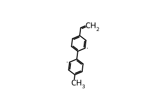 C=Cc1c[c]c(-c2[c]cc(C)cc2)cc1